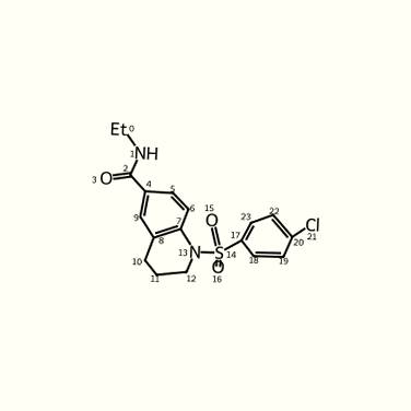 CCNC(=O)c1ccc2c(c1)CCCN2S(=O)(=O)c1ccc(Cl)cc1